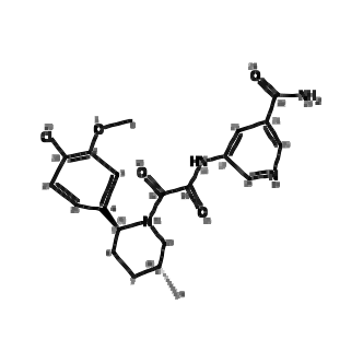 COc1cc([C@@H]2CC[C@@H](C)CN2C(=O)C(=O)Nc2cncc(C(N)=O)c2)ccc1Cl